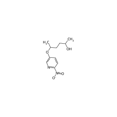 CC(O)CCC(C)Oc1ccc([N+](=O)[O-])nc1